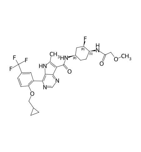 COCC(=O)N[C@H]1CC[C@@H](NC(=O)c2c(C)[nH]c3c(-c4cc(C(F)(F)F)ccc4OCC4CC4)ncnc23)C[C@H]1F